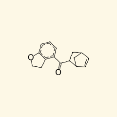 O=C(c1cccc2c1CCO2)C1CC2C=CC1C2